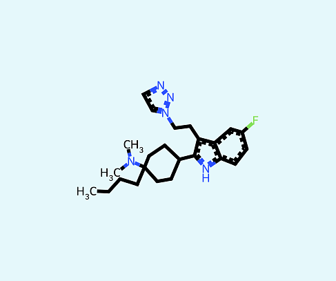 CCCCC1(N(C)C)CCC(c2[nH]c3ccc(F)cc3c2CCn2ccnn2)CC1